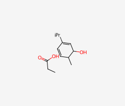 CC(C)C1=CC(O)C(C)C=C1.CCC(=O)O